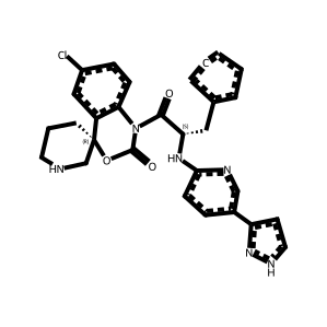 O=C1O[C@]2(CCCNC2)c2cc(Cl)ccc2N1C(=O)[C@H](Cc1ccccc1)Nc1ccc(-c2cc[nH]n2)cn1